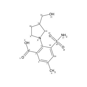 Cc1cc(C(=O)O)c(N2CCC(CO)C2)c(S(N)(=O)=O)c1